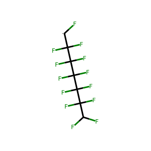 F[CH]C(F)(F)C(F)(F)C(F)(F)C(F)(F)C(F)(F)C(F)F